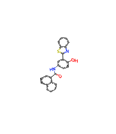 O=C(Nc1ccc(O)c(-c2nc3ccccc3s2)c1)c1cccc2ccccc12